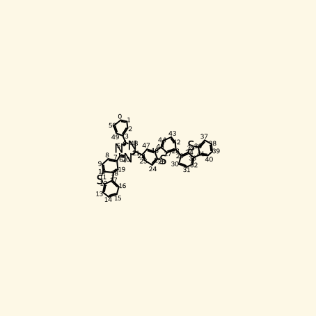 c1ccc(-c2nc(-c3ccc4sc5ccccc5c4c3)nc(-c3ccc4sc5c(-c6cccc7c6sc6ccccc67)cccc5c4c3)n2)cc1